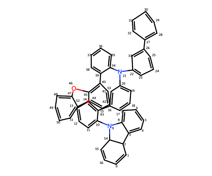 C1=CC2c3ccccc3N(c3ccccc3-c3cccc(N(c4cccc(-c5ccccc5)c4)c4ccccc4-c4cccc5c4oc4ccccc45)c3)C2C=C1